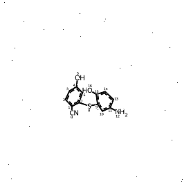 N#Cc1ccc(O)cc1Sc1cc(N)ccc1O